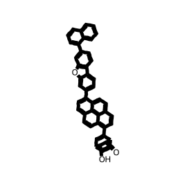 O=C1C2C=CC(C=C2c2ccc3ccc4c(-c5ccc6c(c5)oc5cc(-c7cccc8ccccc78)ccc56)ccc5ccc2c3c54)C1O